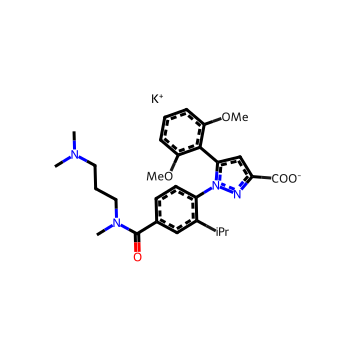 COc1cccc(OC)c1-c1cc(C(=O)[O-])nn1-c1ccc(C(=O)N(C)CCCN(C)C)cc1C(C)C.[K+]